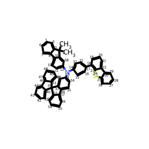 CC1(C)c2ccccc2-c2ccc(N(c3ccc(-c4cccc5c4sc4ccccc45)cc3)c3ccc4c(c3)C3(c5ccccc5-c5ccccc53)c3ccccc3-4)cc21